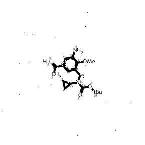 C=C(C)c1cc(N)c(OC)c(CN(C(=O)OC(C)(C)C)C2CC2)c1